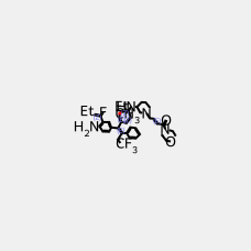 C/C=C(\C=C/C(=C/CC)NC1CCCN(C/C=C/C(=O)N2CCOCC2)C1)C(=C(/CC(F)(F)F)c1ccccc1)/c1ccc(N)c(/C(F)=C/CC)c1